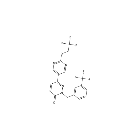 O=c1ccc(-c2cnc(OCC(F)(F)F)nc2)nn1Cc1cccc(C(F)(F)F)c1